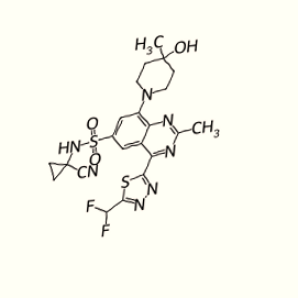 Cc1nc(-c2nnc(C(F)F)s2)c2cc(S(=O)(=O)NC3(C#N)CC3)cc(N3CCC(C)(O)CC3)c2n1